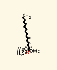 C=CCCCCCCCCCCCCCC(OC)(OC)O[SiH3]